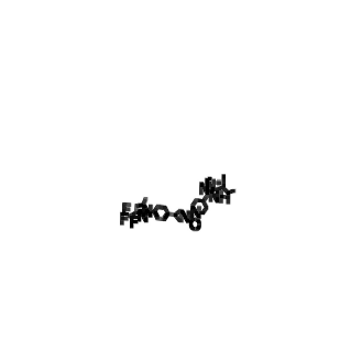 C=[N+]1N=C(C2CCN(C(=O)N3CC(c4ccc(-n5nc(C(F)(F)F)cc5C)cc4)C3)CC2)NC1C(I)CC